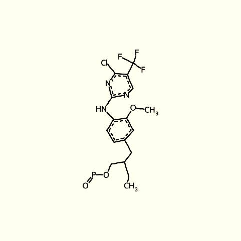 CCC(COP=O)Cc1ccc(Nc2ncc(C(F)(F)F)c(Cl)n2)c(OC)c1